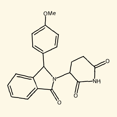 COc1ccc(C2c3ccccc3C(=O)N2C2CCC(=O)NC2=O)cc1